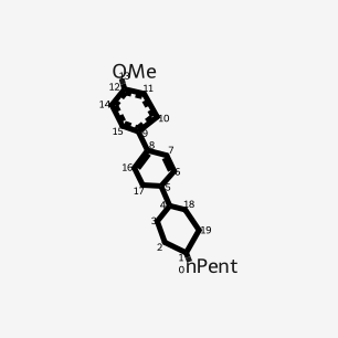 CCCCCC1CCC(C2C=CC(c3ccc(OC)cc3)=CC2)CC1